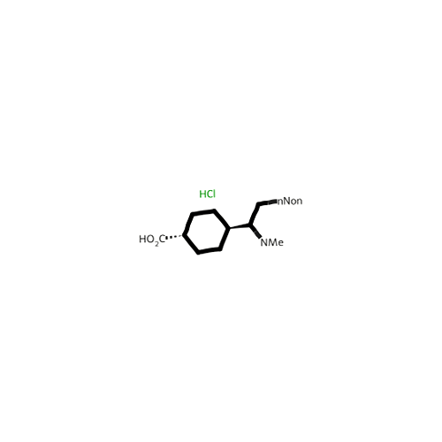 CCCCCCCCCCC(NC)[C@H]1CC[C@H](C(=O)O)CC1.Cl